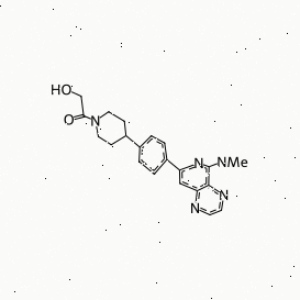 CNc1nc(-c2ccc(C3CCN(C(=O)CO)CC3)cc2)cc2nccnc12